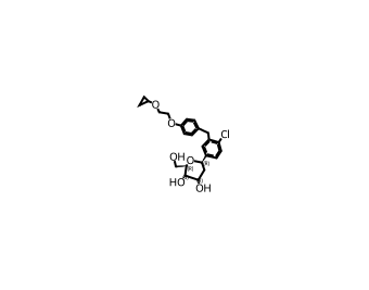 OC[C@H]1O[C@@H](c2ccc(Cl)c(Cc3ccc(OCCOC4CC4)cc3)c2)C[C@@H](O)[C@@H]1O